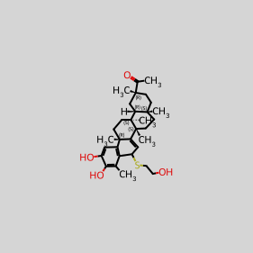 CC(=O)[C@]1(C)CC[C@]2(C)CC[C@]3(C)C4=CC(SCCO)c5c(cc(O)c(O)c5C)[C@]4(C)CC[C@@]3(C)[C@@H]2C1